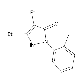 CCc1[nH]n(-c2ccccc2C)c(=O)c1CC